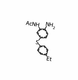 CCc1ccc(Sc2ccc(N)c(NC(C)=O)c2)cc1